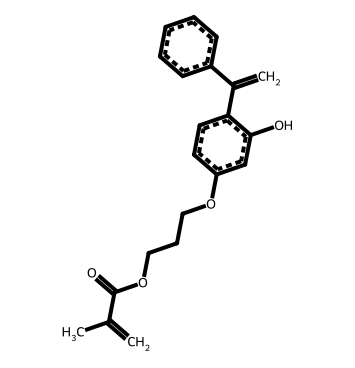 C=C(C)C(=O)OCCCOc1ccc(C(=C)c2ccccc2)c(O)c1